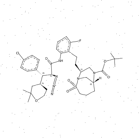 CC(C)(C)OC(=O)N1C[C@H](CCc2c(F)cccc2NC(=O)[C@@H](N=[N+]=[N-])[C@@H](c2ccc(Cl)cc2)[C@H]2CCOC(C)(C)C2)N2C[C@H]1CCCS2(=O)=O